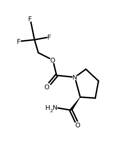 NC(=O)[C@@H]1CCCN1C(=O)OCC(F)(F)F